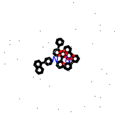 c1ccc(-c2ccc(N(c3ccc(-c4cccc5ccccc45)cc3)c3ccccc3-c3ccccc3-n3c4ccccc4c4ccccc43)cc2-c2cccc3ccccc23)cc1